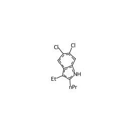 CCCc1[nH]c2cc(Cl)c(Cl)cc2c1CC